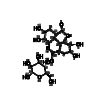 O=c1oc2c(O)c(O)cc3c(=O)oc4c(O)c(O)cc1c4c23.OC[C@H]1OC(O)[C@@H](O)[C@@H](O)[C@@H]1O